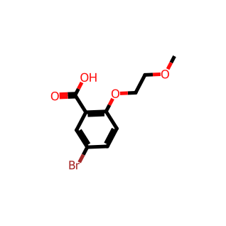 COCCOc1ccc(Br)cc1C(=O)O